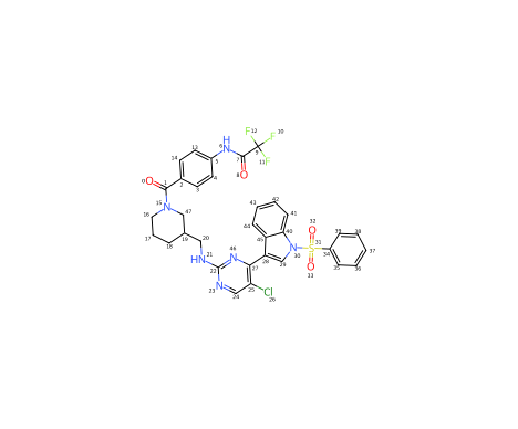 O=C(c1ccc(NC(=O)C(F)(F)F)cc1)N1CCCC(CNc2ncc(Cl)c(-c3cn(S(=O)(=O)c4ccccc4)c4ccccc34)n2)C1